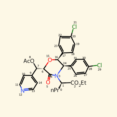 CCC[C@H](C(=O)OCC)N1C(=O)[C@H](C(OC(C)=O)c2ccncc2)O[C@@H](c2ccc(Cl)cc2)[C@H]1c1ccc(Cl)cc1